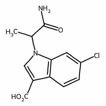 CC(C(N)=O)n1cc(C(=O)O)c2ccc(Cl)cc21